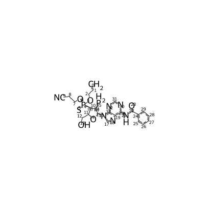 C=CCOP(=S)(OCCC#N)[C@@H]1C(CO)OC(n2cnc3c(NC(=O)c4ccccc4)ncnc32)[C@@H]1P